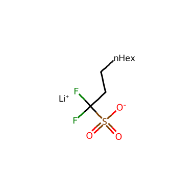 CCCCCCCCC(F)(F)S(=O)(=O)[O-].[Li+]